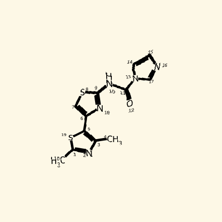 Cc1nc(C)c(-c2csc(NC(=O)n3ccnc3)n2)s1